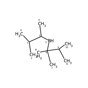 CC(C)C(C)BC(C)(C)C(C)C